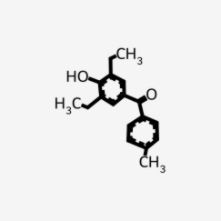 CCc1cc(C(=O)c2ccc(C)cc2)cc(CC)c1O